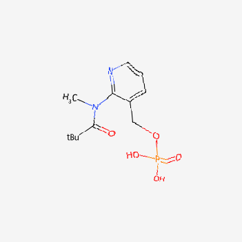 CN(C(=O)C(C)(C)C)c1ncccc1COP(=O)(O)O